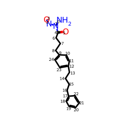 NN(N=O)C(=O)CCCc1ccc(CCCCc2ccccc2)cc1